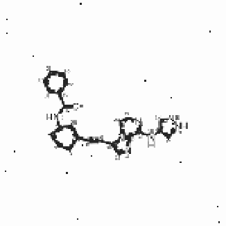 O=C(Nc1cccc(C#Cc2cnc3c(Nc4cn[nH]c4)nccn23)c1)c1ccccc1